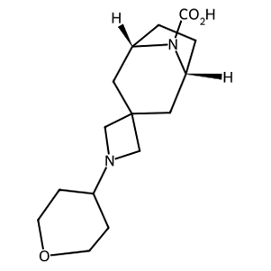 O=C(O)N1[C@@H]2CC[C@H]1CC1(C2)CN(C2CCOCC2)C1